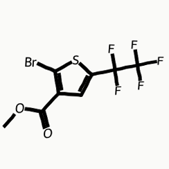 COC(=O)c1cc(C(F)(F)C(F)(F)F)sc1Br